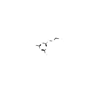 [CH2]CNNc1nc(N)nc(N)n1